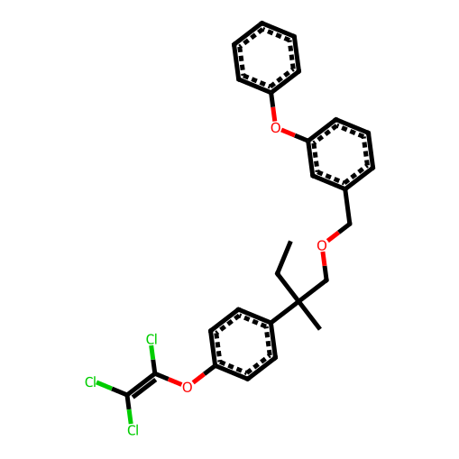 CCC(C)(COCc1cccc(Oc2ccccc2)c1)c1ccc(OC(Cl)=C(Cl)Cl)cc1